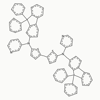 c1ccc(C2(c3ccccc3)c3ccccc3-c3ccc(N(c4cccnc4)c4ccc(-c5ccc(N(c6cccnc6)c6ccc7c(c6)C(c6ccccc6)(c6ccccc6)c6ccccc6-7)s5)s4)cc32)cc1